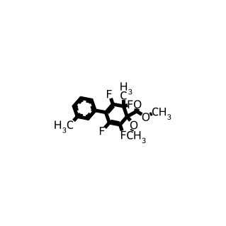 COC(=O)C1(OC)C(F)=C(F)C(c2cccc(C)c2)=C(F)C1(C)F